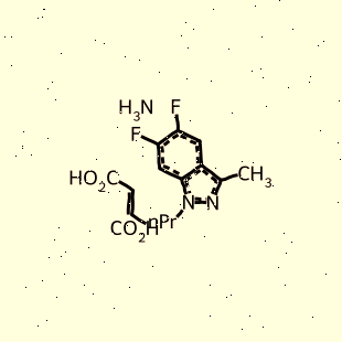 CCCn1nc(C)c2cc(F)c(F)cc21.N.O=C(O)C=CC(=O)O